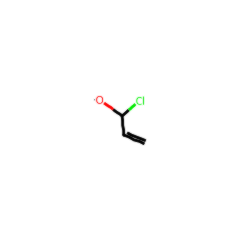 C=CC([O])Cl